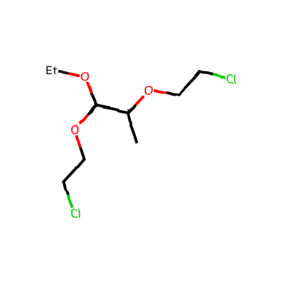 CCOC(OCCCl)[C](C)OCCCl